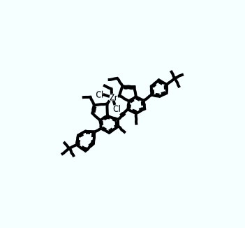 CCC1=Cc2c(-c3ccc(C(C)(C)C)cc3)cc(C)c(C)c2[CH]1[Zr]([Cl])([Cl])([CH2]C)[CH]1C(CC)=Cc2c(-c3ccc(C(C)(C)C)cc3)cc(C)c(C)c21